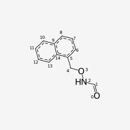 O=CNOCc1cccc2ccccc12